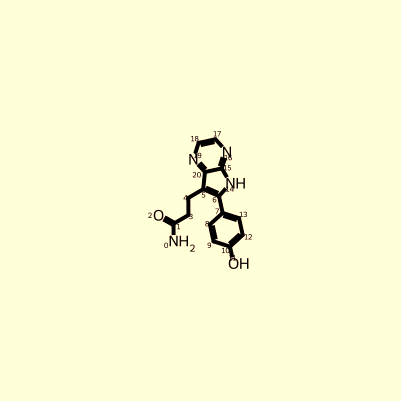 NC(=O)CCc1c(-c2ccc(O)cc2)[nH]c2nccnc12